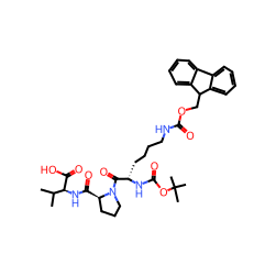 CC(C)[C@H](NC(=O)[C@@H]1CCCN1C(=O)[C@H](CCCCNC(=O)OCC1c2ccccc2-c2ccccc21)NC(=O)OC(C)(C)C)C(=O)O